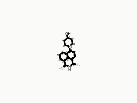 O=C1NC(=O)c2ccc(N3CCC(O)CC3)c3cccc1c23